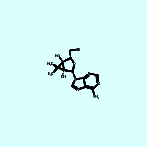 CC1(C)[C@]2(O)[C@@H](CO)O[C@@H](n3cnc4c(N)ncnc43)[C@@]12O